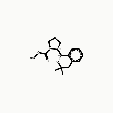 CC(C)(C)OC(=O)N1CCC[C@H]1[C@H]1OC(C)(C)Cc2ccccc21